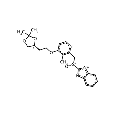 Cc1c(OCC[C@H]2COC(C)(C)O2)ccnc1C[S+]([O-])c1nc2ccccc2[nH]1